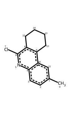 Cc1ccc2nc(Cl)c3c(c2c1)CCCC3